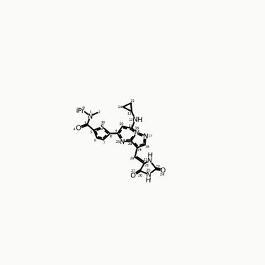 CC(C)N(C)C(=O)c1ccc(-c2cc(NC3CC3)n3ncc(/C=C4\NC(=O)NC4=O)c3n2)s1